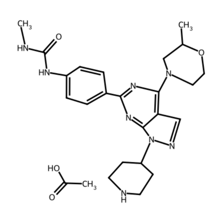 CC(=O)O.CNC(=O)Nc1ccc(-c2nc(N3CCOC(C)C3)c3cnn(C4CCNCC4)c3n2)cc1